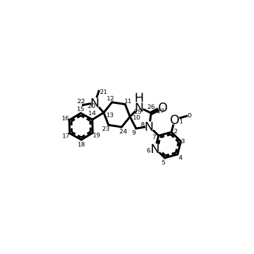 COc1cccnc1N1CC2(CCC(c3ccccc3)(N(C)C)CC2)NC1=O